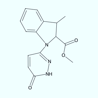 COC(=O)C1C(C)c2ccccc2N1c1ccc(=O)[nH]n1